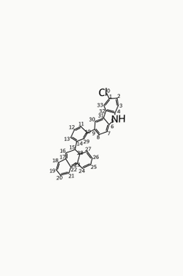 Clc1ccc2[nH]c3ccc(-c4cccc(C5C=c6ccccc6=C6C=CC=CC65)c4)cc3c2c1